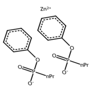 CCCP(=O)([O-])Oc1ccccc1.CCCP(=O)([O-])Oc1ccccc1.[Zn+2]